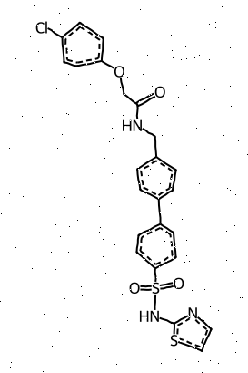 O=C(COc1ccc(Cl)cc1)NCc1ccc(-c2ccc(S(=O)(=O)Nc3nccs3)cc2)cc1